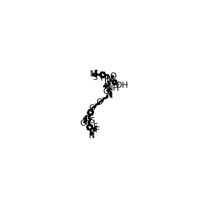 Cc1ncsc1-c1ccc(CNC(=O)[C@@H]2C[C@@H](O)CN2C(=O)[C@@H](NC(=O)CN(C)CCCCOCCCOc2ccc(N3C(=S)N(c4ccc(C#N)c(C(F)(F)F)c4)C(=O)C3(C)C)cc2)C(C)(C)C)cc1